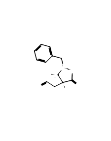 C=CC[C@@]1(C)C(=O)ON(Cc2ccccc2)[C@@H]1C